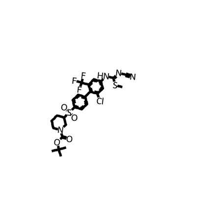 CS/C(=N\C#N)Nc1cc(Cl)c(-c2ccc(S(=O)(=O)C3CCCN(C(=O)OC(C)(C)C)C3)cc2)c(C(F)(F)F)c1